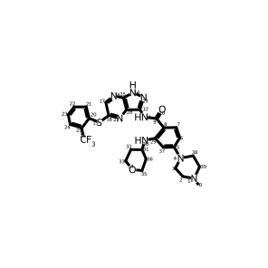 CN1CCN(c2ccc(C(=O)Nc3n[nH]c4ncc(Sc5ccccc5C(F)(F)F)nc34)c(NC3CCOCC3)c2)CC1